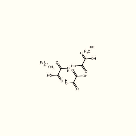 O.O.O.O=C(O)C(=O)O.O=C(O)C(=O)O.O=C(O)C(=O)O.[Fe].[KH]